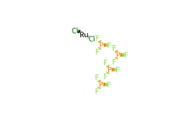 FP(F)F.FP(F)F.FP(F)F.FP(F)F.[Cl][Ru][Cl]